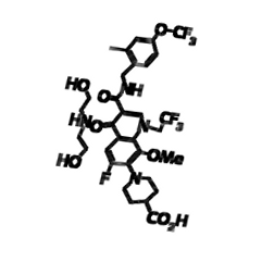 COc1c(N2CCC(C(=O)O)CC2)c(F)cc2c(=O)c(C(=O)NCc3ccc(OC(F)(F)F)cc3C)cn(CC(F)(F)F)c12.OCCNCCO